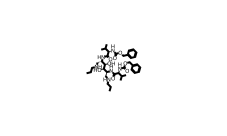 CCCNC[C@H](NC(=O)[C@@H](NC(=O)OCc1ccccc1)C(C)C)[C@@H](O)[C@H](O)[C@H](CNCCC)NC(=O)[C@@H](NC(=O)OCc1ccccc1)C(C)C